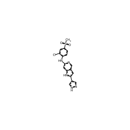 CS(=O)(=O)c1ccc(Nc2cc3[nH]c(-c4cn[nH]c4)cc3cn2)c(Cl)c1